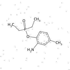 CCP(=O)(CC)Oc1ccc(C)cc1N